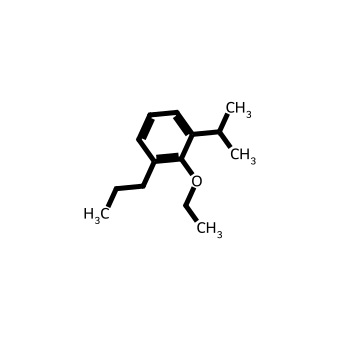 CCCc1cccc([C](C)C)c1OCC